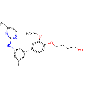 Cc1cc(Nc2nccc(C(F)(F)F)n2)cc(-c2ccc(OCCCCO)c(OC(=O)O)c2)c1